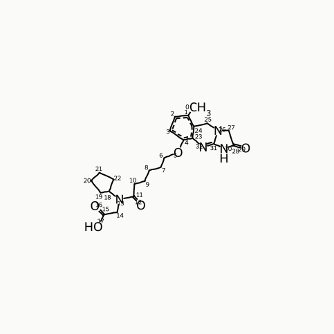 Cc1ccc(OCCCCCC(=O)N(CC(=O)O)C2CCCC2)c2c1CN1CC(=O)NC1=N2